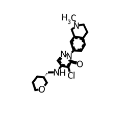 CN1CCc2ccc(-n3ncc(NC[C@H]4CCCOC4)c(Cl)c3=O)cc2C1